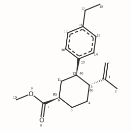 C=C(C)[C@@H]1CC[C@@H](C(=O)OC)C[C@H]1c1ccc(CC)cc1